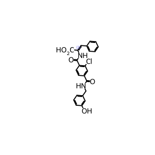 O=C(O)/C(=C/c1ccccc1)NC(=O)c1ccc(C(=O)NCc2cccc(O)c2)cc1Cl